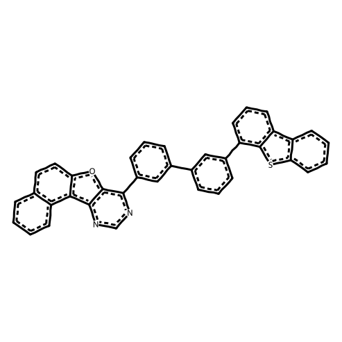 c1cc(-c2cccc(-c3cccc4c3sc3ccccc34)c2)cc(-c2ncnc3c2oc2ccc4ccccc4c23)c1